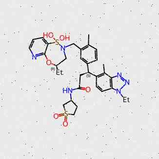 CC[C@@H]1CN(Cc2cc([C@H](CC(=O)NC3CCS(=O)(=O)C3)c3ccc4c(nnn4CC)c3C)ccc2C)S(O)(O)c2cccnc2O1